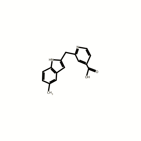 Cc1ccc2[nH]c(Cc3cc(C(=O)O)ccn3)cc2c1